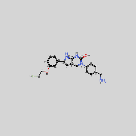 NCc1ccc(-n2cc3cc(-c4cccc(OCCF)c4)[nH]c3nc2=O)cc1